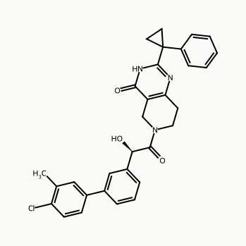 Cc1cc(-c2cccc([C@@H](O)C(=O)N3CCc4nc(C5(c6ccccc6)CC5)[nH]c(=O)c4C3)c2)ccc1Cl